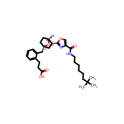 CC(C)(C)CCCCCCNC(=O)c1coc([C@H]2C[C@]3(Cc4ccccc4CCC(=O)O)CC[C@H]2O3)n1